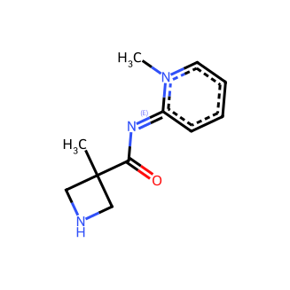 Cn1cccc/c1=N\C(=O)C1(C)CNC1